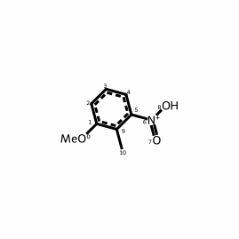 COc1cccc([N+](=O)O)c1C